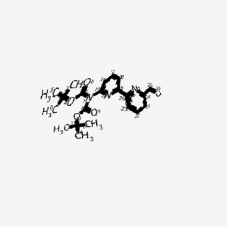 CC(C)(C)OC(=O)N(C(=O)OC(C)(C)C)c1cccc(-c2cccc(C=O)n2)n1